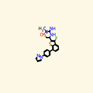 CN1C(=N)NC(c2sc3c(-c4ccc(-n5cccn5)cc4)cccc3c2F)C[S+]1[O-]